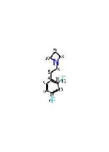 Fc1ccc(CCN2C[CH]C2)c(F)c1